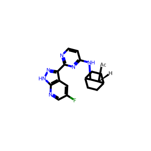 CC(=O)[C@@H]1C2CCC(CC2)C1Nc1ccnc(-c2n[nH]c3ncc(F)cc23)n1